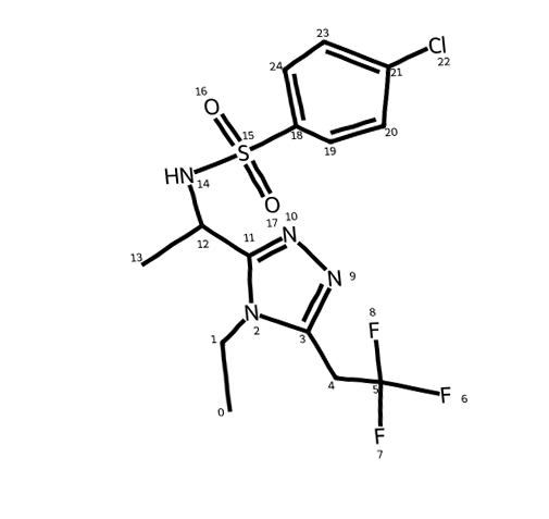 CCn1c(CC(F)(F)F)nnc1C(C)NS(=O)(=O)c1ccc(Cl)cc1